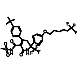 CC(C)(C)c1ccc(C2=C(C(=O)NS(C)(=O)=O)C(=O)NC(c3ccc(OCCCCCC(F)(F)F)cc3)(C(F)(F)F)C2)cc1